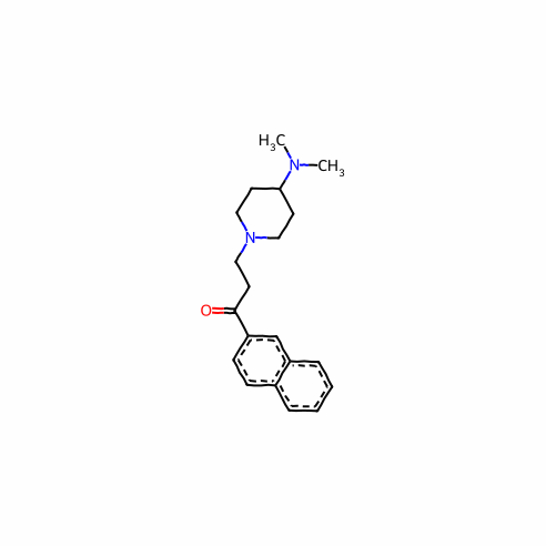 CN(C)C1CCN(CCC(=O)c2ccc3ccccc3c2)CC1